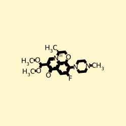 COC(OC)c1cn2c3c(c(N4CCN(C)CC4)c(F)cc3c1=O)OC[C@@H]2C